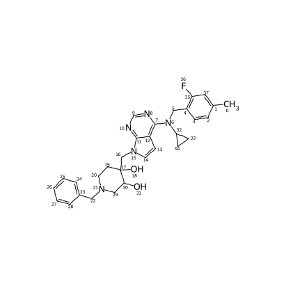 Cc1ccc(CN(c2ncnc3c2ccn3CC2(O)CCN(Cc3ccccc3)CC2O)C2CC2)c(F)c1